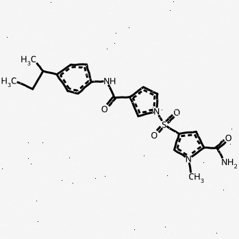 CCC(C)c1ccc(NC(=O)c2ccn(S(=O)(=O)c3cc(C(N)=O)n(C)c3)c2)cc1